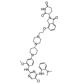 COc1cc(N2CCC(N3CCN(CCOc4cccc5c4CN(C4CCC(=O)NC4=O)C5=O)CC3)CC2)ccc1Nc1ncc(Cl)c(Nc2ccccc2P(C)C)n1